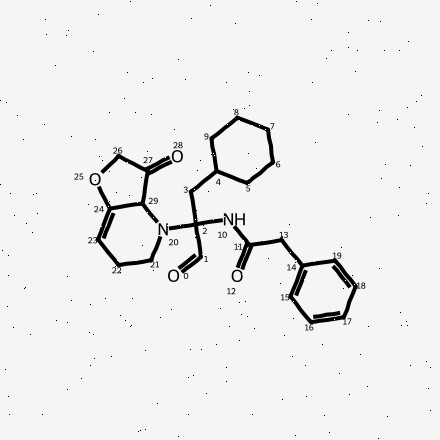 O=CC(CC1CCCCC1)(NC(=O)Cc1ccccc1)N1CCC=C2OCC(=O)C21